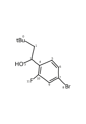 CC(C)(C)CC(O)c1ccc(Br)cc1F